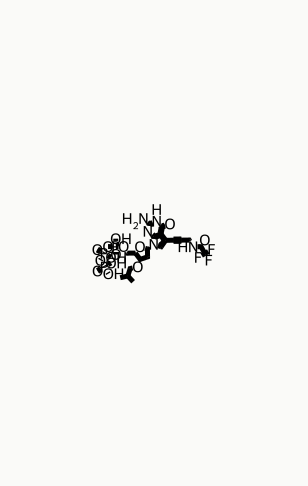 CC(C)CO[C@@H]1C[C@H](n2cc(C#CCNC(=O)C(F)(F)F)c3c(=O)[nH]c(N)nc32)OC1COP(=O)(O)OP(=O)(O)OP(=O)(O)O